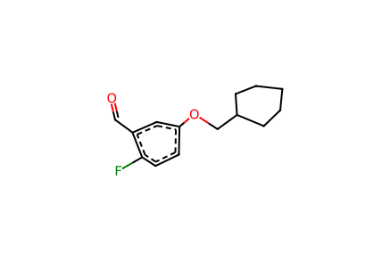 O=Cc1cc(OCC2CCCCC2)ccc1F